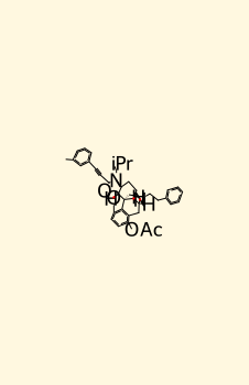 CC(=O)Oc1ccc2c3c1C[C@@H]1[C@@H]4CC[C@H](N(CC(C)C)C(=O)C#Cc5cccc(C)c5)[C@H](O2)[C@]34CCN1CCc1ccccc1